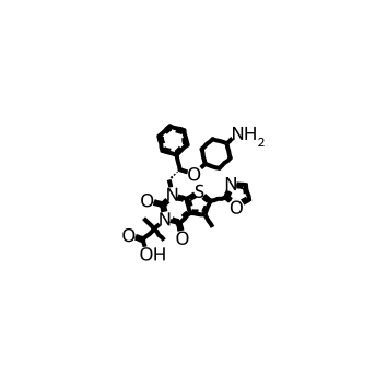 Cc1c(-c2ncco2)sc2c1c(=O)n(C(C)(C)C(=O)O)c(=O)n2C[C@@H](OC1CCC(N)CC1)c1ccccc1